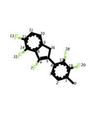 Cc1ccc(C2=C(F)c3c(ccc(F)c3F)C2)c(F)c1F